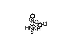 CC1=C(C(=O)N2CCc3ccccc32)C(c2ccc(Cl)cc2)NC(=S)N1